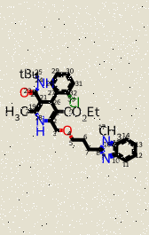 CCOC(=O)C1=C(COCCCc2nc3ccccc3n2C)NC(C)=C(C(=O)NC(C)(C)C)C1c1ccccc1Cl